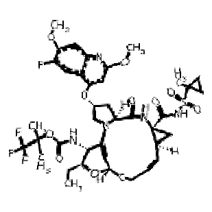 CC[C@@H]1O[C@@H]2C=C([C@H]1NC(=O)OC(C)(C)C(F)(F)F)N1C[C@H](Oc3cc(OC)nc4cc(OC)c(F)cc34)C[C@H]1C(=O)N[C@]1(C(=O)NS(=O)(=O)C3(C)CC3)C[C@H]1/C=C\CC2